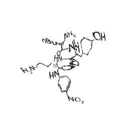 CCCC[C@@H](N)C(=O)N[C@@H](CC1CCC(O)CC1)C(=O)N[C@@H](CCCCN)C(=O)Nc1ccc([N+](=O)[O-])cc1